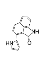 O=C1Nc2cccc3ccc(-c4ccc[nH]4)c1c23